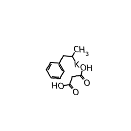 C[CH]([K])Cc1ccccc1.O=C(O)CC(=O)O